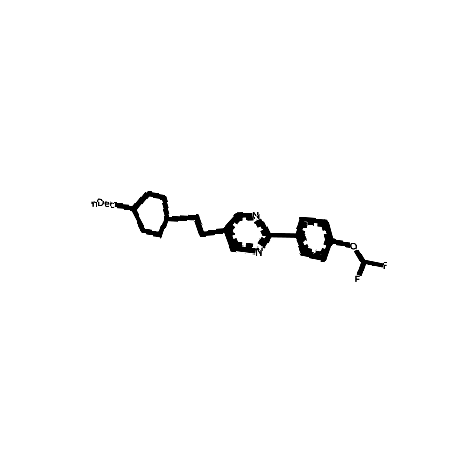 CCCCCCCCCCC1CCC(CCc2cnc(-c3ccc(OC(F)F)cc3)nc2)CC1